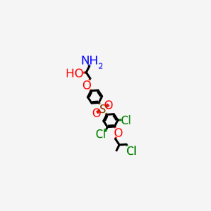 CC(CCl)COc1c(Cl)cc(S(=O)(=O)c2ccc(OCC(O)CN)cc2)cc1Cl